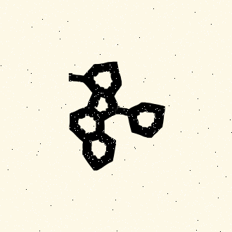 Ic1cccc2c1c1ccc3ccccc3c1n2-c1ccccc1